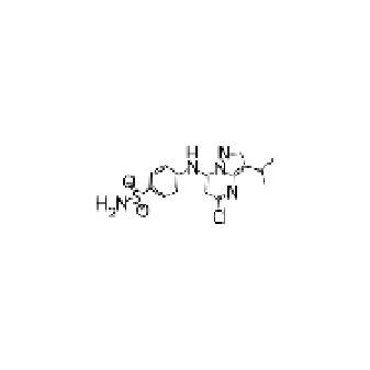 CC(C)c1cnn2c(Nc3ccc(S(N)(=O)=O)cc3)cc(Cl)nc12